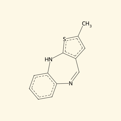 Cc1cc2c(s1)Nc1ccccc1N=C2